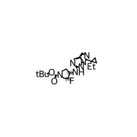 CCC1(c2ncc3cnc(N[C@@H]4CCN(C(=O)OC(C)(C)C)C[C@H]4F)nn23)CC1